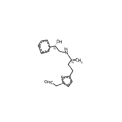 C[C@@H](CCc1ccc(CC=O)s1)NC[C@@H](O)c1ccccc1